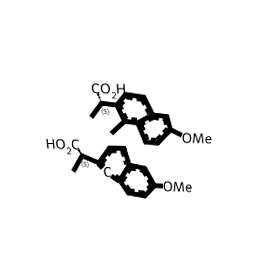 COc1ccc2c(C)c([C@H](C)C(=O)O)ccc2c1.COc1ccc2cc([C@H](C)C(=O)O)ccc2c1